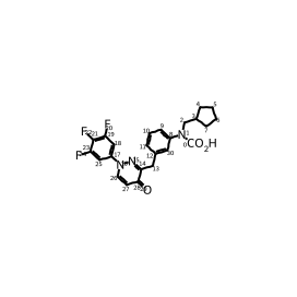 O=C(O)N(CC1CCCC1)c1cccc(Cc2nn(-c3cc(F)c(F)c(F)c3)ccc2=O)c1